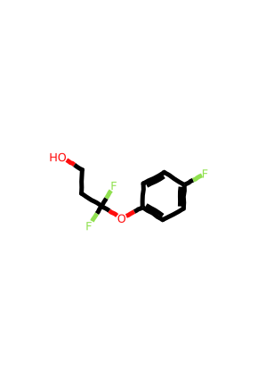 OCCC(F)(F)Oc1ccc(F)cc1